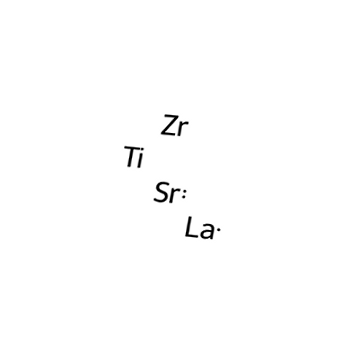 [La].[Sr].[Ti].[Zr]